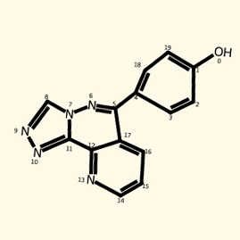 Oc1ccc(-c2nn3cnnc3c3ncccc23)cc1